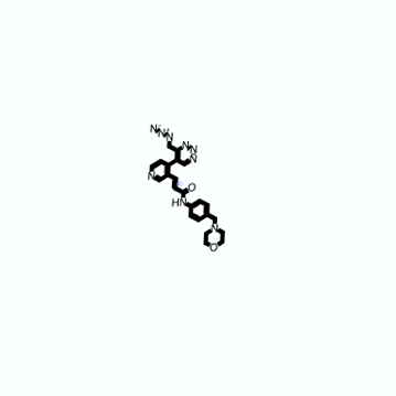 [N-]=[N+]=NCc1nnncc1-c1ccncc1/C=C/C(=O)Nc1ccc(CN2CCOCC2)cc1